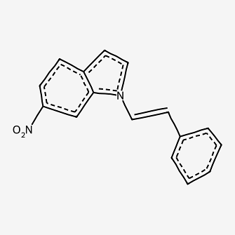 O=[N+]([O-])c1ccc2ccn(C=Cc3ccccc3)c2c1